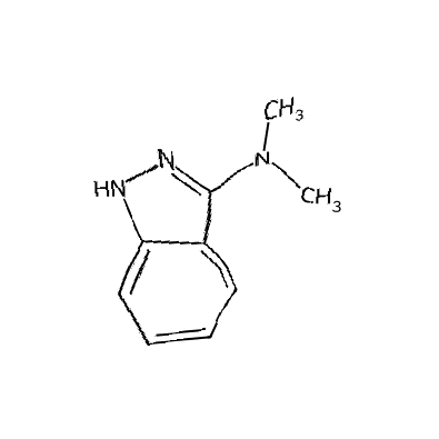 CN(C)c1n[nH]c2ccccc12